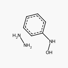 NN.ONc1ccccc1